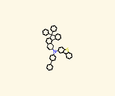 C1=CC(N(c2ccc(-c3ccccc3)cc2)c2ccc3sc4ccccc4c3c2)Cc2c1ccc1c2-c2ccccc2C1(c1ccccc1)c1ccccc1